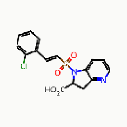 O=C(O)C1Cc2ncccc2N1S(=O)(=O)/C=C/c1ccccc1Cl